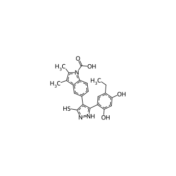 CCc1cc(-c2[nH]nc(S)c2-c2ccc3c(c2)c(C)c(C)n3C(=O)O)c(O)cc1O